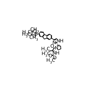 COC(=O)N[C@H](C(=O)N1CCC[C@H]1c1nc(-c2ccc3c(c2)Cc2cc(B4OC(C)(C)C(C)(C)O4)ccc2-3)c[nH]1)C(C)C